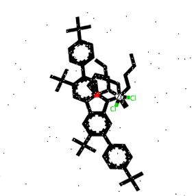 [CH2]=[Zr]([Cl])([Cl])([CH2]CCC)([CH2]CCC)([CH]1C=CC=C1)[CH]1c2cc(-c3ccc(C(C)(C)C)cc3)c(C(C)(C)C)cc2-c2cc(C(C)(C)C)c(-c3ccc(C(C)(C)C)cc3)cc21